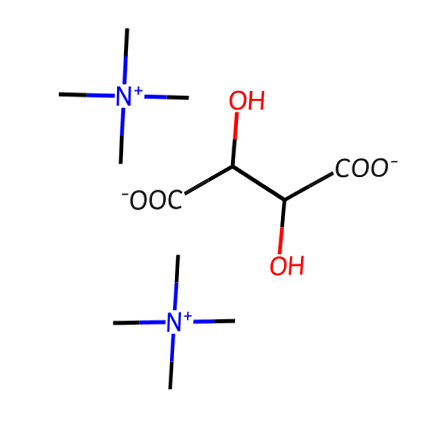 C[N+](C)(C)C.C[N+](C)(C)C.O=C([O-])C(O)C(O)C(=O)[O-]